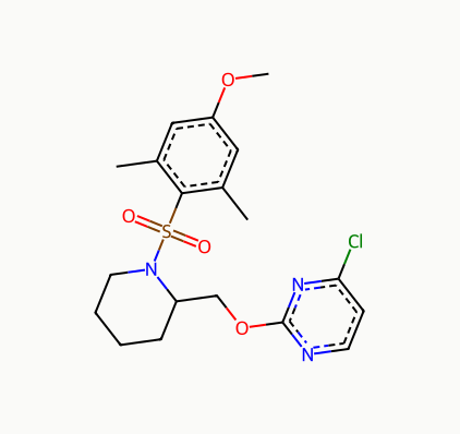 COc1cc(C)c(S(=O)(=O)N2CCCCC2COc2nccc(Cl)n2)c(C)c1